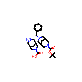 CC(C)(C)OC(=O)N1CC2CC(CN(Cc3ccccc3)C2)C1.O=C(O)N1CC2CNCC(C2)C1